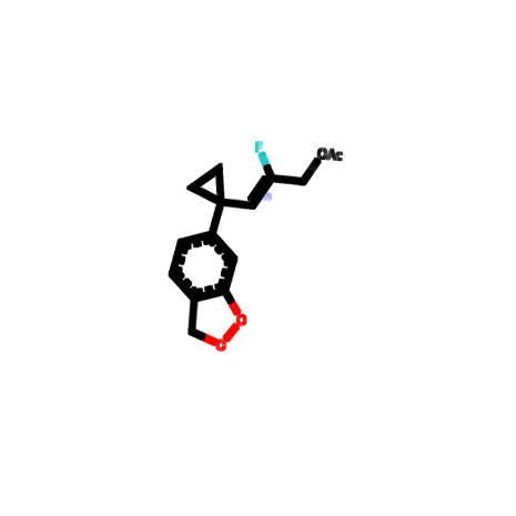 CC(=O)OC/C(F)=C/C1(c2ccc3c(c2)OOC3)CC1